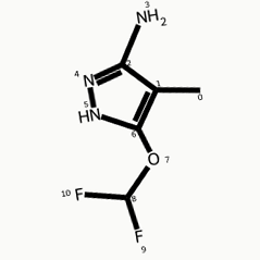 Cc1c(N)n[nH]c1OC(F)F